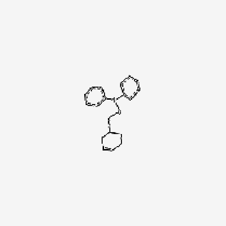 C1=CCC(COP(c2ccccc2)c2ccccc2)CC1